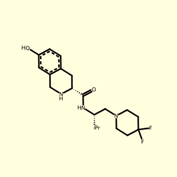 CC(C)[C@@H](CN1CCC(F)(F)CC1)NC(=O)[C@H]1Cc2ccc(O)cc2CN1